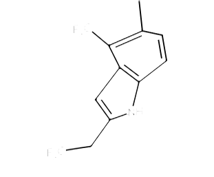 [C-]#[N+]c1ccc2[nH]c(CC(F)(F)F)cc2c1C(F)(F)F